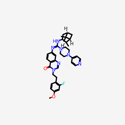 COc1ccc(CCn2cnc3cc(N=C(NC4C[C@H]5C[C@H]([C@H]4C)C5(C)C)N4CCN(c5ccncc5)CC4)ccc3c2=O)c(F)c1